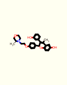 CC1=C(c2cccc(O)c2)C(c2ccc(OCCN3CCOC[C@H]3C)cc2)Oc2ccc(O)cc21